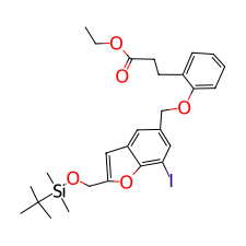 CCOC(=O)CCc1ccccc1OCc1cc(I)c2oc(CO[Si](C)(C)C(C)(C)C)cc2c1